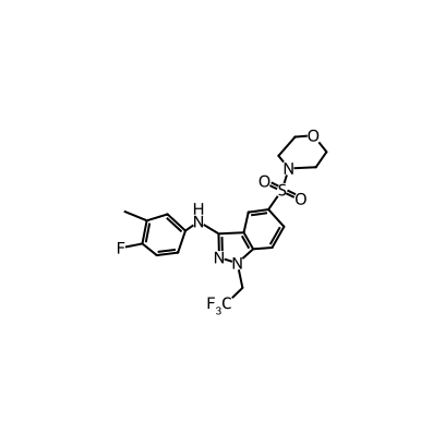 Cc1cc(Nc2nn(CC(F)(F)F)c3ccc(S(=O)(=O)N4CCOCC4)cc23)ccc1F